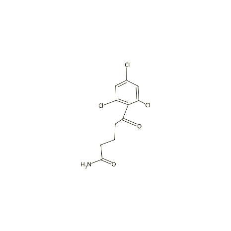 NC(=O)CCCC(=O)c1c(Cl)cc(Cl)cc1Cl